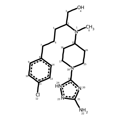 CN(C(CO)CCCc1ccc(Cl)cc1)C1CCN(c2nc(N)n[nH]2)CC1